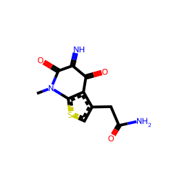 CN1C(=O)C(=N)C(=O)c2c(CC(N)=O)csc21